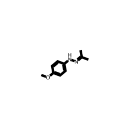 COc1ccc(NN=C(C)C)cc1